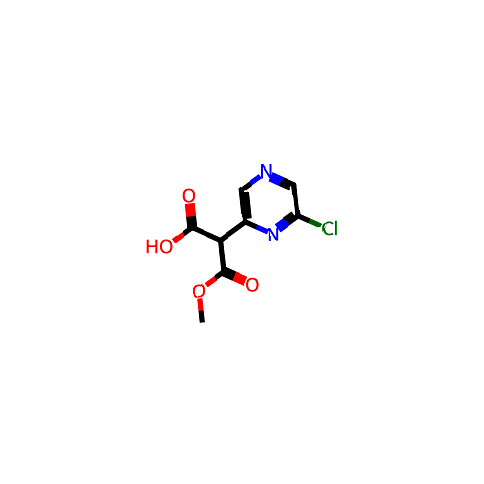 COC(=O)C(C(=O)O)c1cncc(Cl)n1